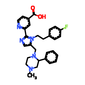 CN1CCN(Cc2cnc(-c3cc(C(=O)O)ccn3)n2CCc2ccc(F)cc2)C(c2ccccc2)C1